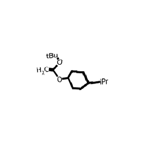 C=C(OC1CCC(C(C)C)CC1)OC(C)(C)C